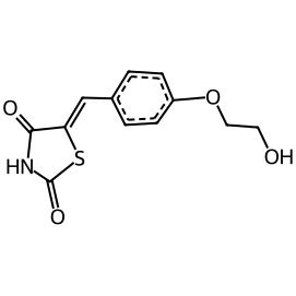 O=C1NC(=O)/C(=C/c2ccc(OCCO)cc2)S1